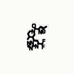 Cc1cc(C(=O)N2CCC(C)C(c3cc(C(F)F)nc4ncnn34)C2)no1